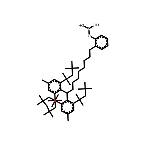 Cc1cc(C(C)(C)CC(C)(C)C)c(C(CCCCCCCCc2ccccc2OP(O)O)c2c(C(C)(C)CC(C)(C)C)cc(C)cc2C(C)(C)CC(C)(C)C)c(C(C)(C)CC(C)(C)C)c1